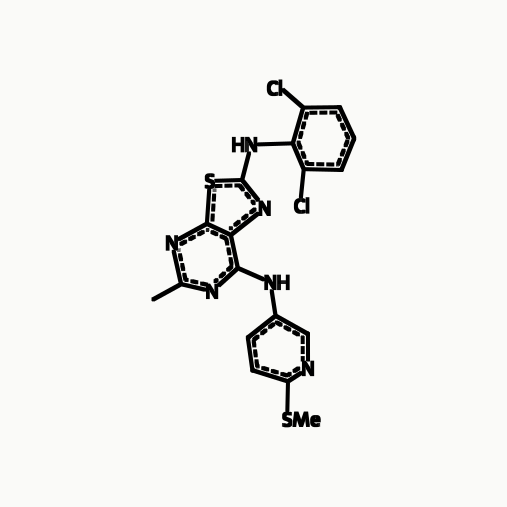 CSc1ccc(Nc2nc(C)nc3sc(Nc4c(Cl)cccc4Cl)nc23)cn1